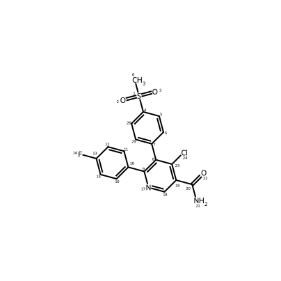 CS(=O)(=O)c1ccc(-c2c(-c3ccc(F)cc3)ncc(C(N)=O)c2Cl)cc1